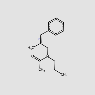 CCCN(C/C(C)=C\c1ccccc1)C(C)=O